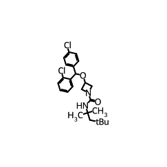 CC(C)(C)CC(C)(C)NC(=O)N1CC(OC(c2ccc(Cl)cc2)c2ccccc2Cl)C1